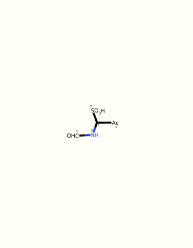 CC(=O)C(NC=O)S(=O)(=O)O